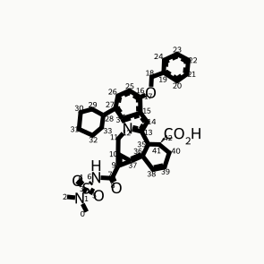 CN(C)S(=O)(=O)NC(=O)C1=C2Cn3c(cc4c(OCc5ccccc5)ccc(C5CCCCC5)c43)C3C(=C21)C=CC[C@H]3C(=O)O